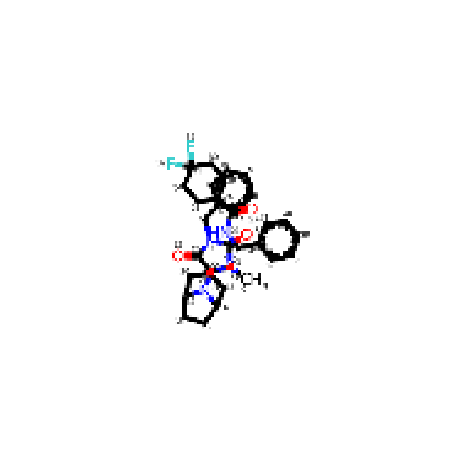 CN1C(=O)N(Cc2ccccc2)C(=O)C12CC1CCC(C2)N1CC[C@H](NC(=O)C1CCC(F)(F)CC1)c1ccccc1